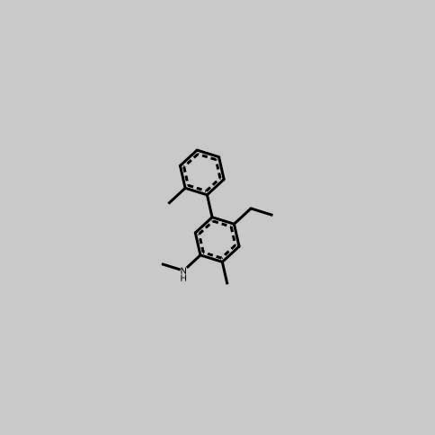 CCc1cc(C)c(NC)cc1-c1ccccc1C